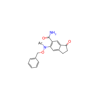 CC(=O)N(OCc1ccccc1)c1cc2c(cc1C(N)=O)C(=O)CC2